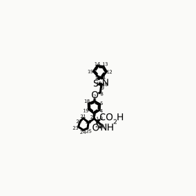 O=C(O)C1(C(c2ccc(OCc3nc4ccccc4s3)cc2)C2CCCCC2)NO1